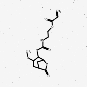 C=CC(=O)OCCNC(=O)OC1C(OC)CC2CC1OC2=O